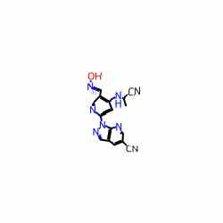 CC(C#N)Nc1cc(-n2ncc3cc(C#N)cnc32)ncc1/C=N/O